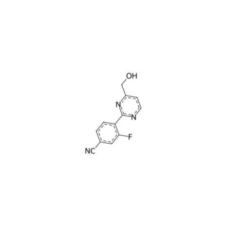 N#Cc1ccc(-c2nccc(CO)n2)c(F)c1